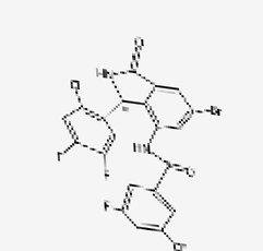 O=C(Nc1cc(Br)cc2c1[C@H](c1cc(F)c(F)cc1Cl)NC2=O)c1cc(F)cc(C(F)(F)F)c1